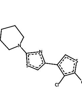 Clc1scc(-c2csc(N3CCCCC3)n2)c1Cl